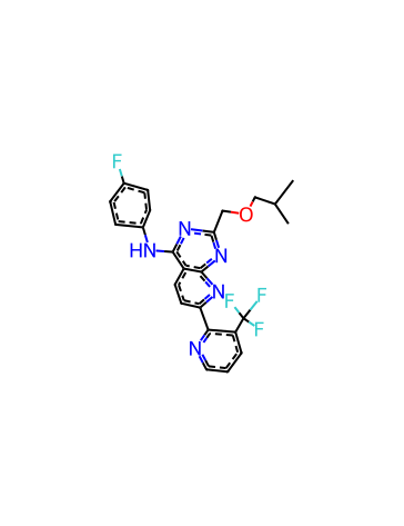 CC(C)COCc1nc(Nc2ccc(F)cc2)c2ccc(-c3ncccc3C(F)(F)F)nc2n1